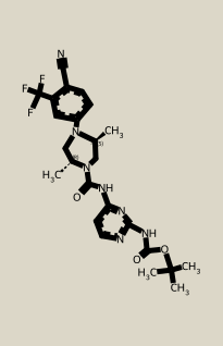 C[C@@H]1CN(c2ccc(C#N)c(C(F)(F)F)c2)[C@@H](C)CN1C(=O)Nc1ccnc(NC(=O)OC(C)(C)C)n1